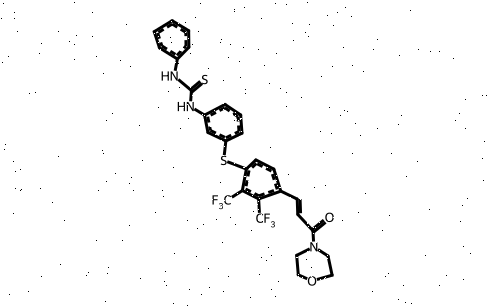 O=C(C=Cc1ccc(Sc2cccc(NC(=S)Nc3ccccc3)c2)c(C(F)(F)F)c1C(F)(F)F)N1CCOCC1